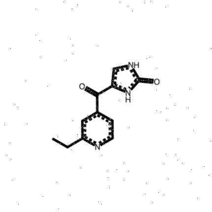 CCc1cc(C(=O)c2c[nH]c(=O)[nH]2)ccn1